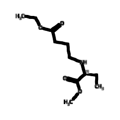 CCOC(=O)CCCN[C@@H](CC)C(=O)OC